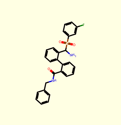 NC(c1ccccc1-c1ccccc1C(=O)NCc1ccccc1)S(=O)(=O)c1cccc(F)c1